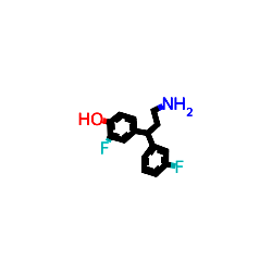 NCCC(c1cccc(F)c1)c1ccc(O)c(F)c1